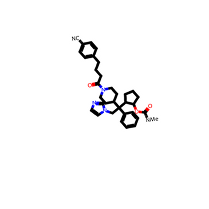 CNC(=O)OC1CCCC1C(Cn1ccnc1)(c1ccccc1)C1CCN(C(=O)CCCc2ccc(C#N)cc2)CC1